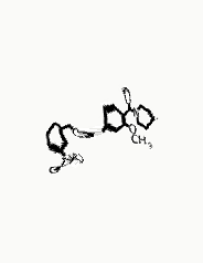 COc1cc(OCc2cccc([N+](=O)[O-])c2)ccc1C(=O)N1CC[CH]CC1